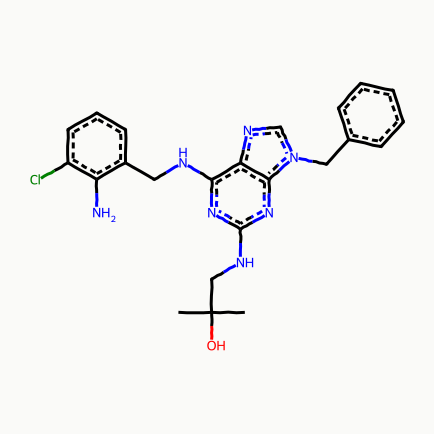 CC(C)(O)CNc1nc(NCc2cccc(Cl)c2N)c2ncn(Cc3ccccc3)c2n1